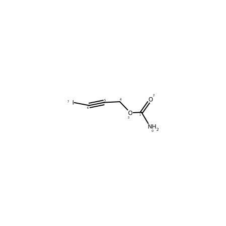 NC(=O)OCC#CI